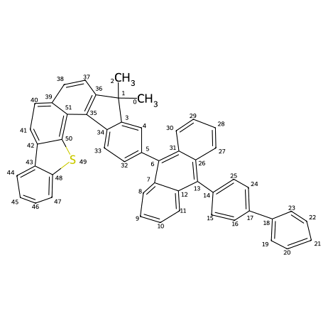 CC1(C)c2cc(-c3c4ccccc4c(-c4ccc(-c5ccccc5)cc4)c4ccccc34)ccc2-c2c1ccc1ccc3c4ccccc4sc3c21